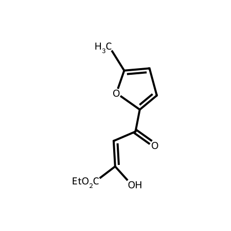 CCOC(=O)/C(O)=C/C(=O)c1ccc(C)o1